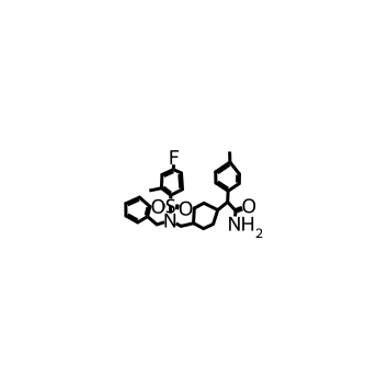 Cc1ccc(C(C(N)=O)C2CCC(CN(Cc3ccccc3)S(=O)(=O)c3ccc(F)cc3C)CC2)cc1